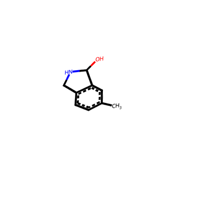 Cc1ccc2c(c1)C(O)NC2